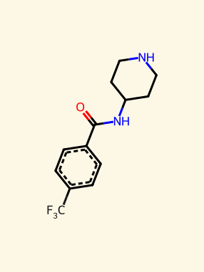 O=C(NC1CCNCC1)c1ccc(C(F)(F)F)cc1